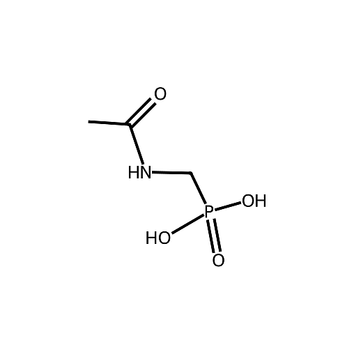 CC(=O)NCP(=O)(O)O